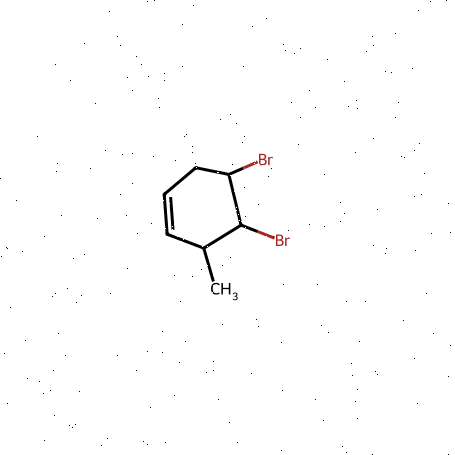 CC1C=CCC(Br)C1Br